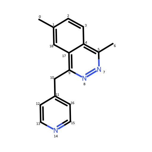 Cc1ccc2c(C)nnc(Cc3ccncc3)c2c1